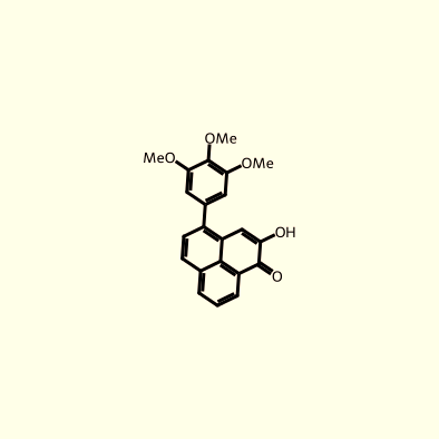 COc1cc(-c2ccc3cccc4c3c2C=C(O)C4=O)cc(OC)c1OC